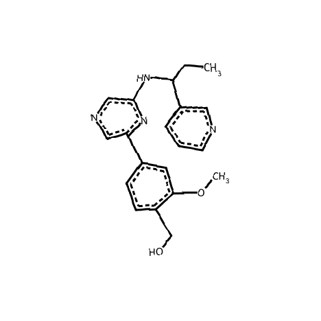 CCC(Nc1cncc(-c2ccc(CO)c(OC)c2)n1)c1cccnc1